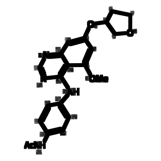 COc1cc(OC2CCOC2)cc2ncnc(Nc3ccc(NC(C)=O)cc3)c12